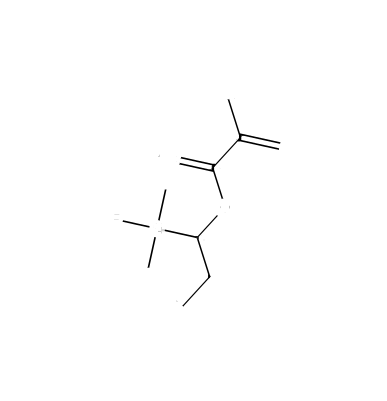 C=C(C)C(=O)OC(CC)[Si](C)(C)F